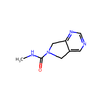 CNC(=O)N1Cc2cncnc2C1